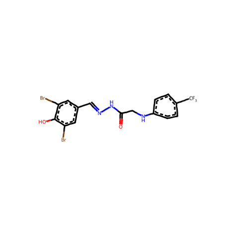 O=C(CNc1ccc(C(F)(F)F)cc1)N/N=C/c1cc(Br)c(O)c(Br)c1